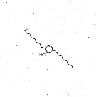 CCCCCCCOc1ccc(CCCCCCCO)cc1.Cl